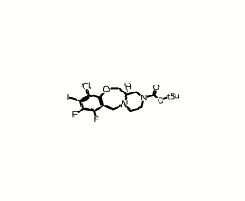 CC(C)(C)OC(=O)N1CCN2Cc3c(F)c(F)c(I)c(Cl)c3OC[C@H]2C1